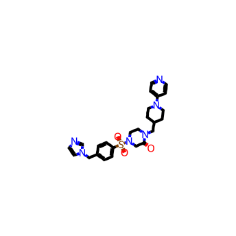 O=C1CN(S(=O)(=O)c2ccc(Cn3ccnc3)cc2)CCN1CC1CCN(c2ccncc2)CC1